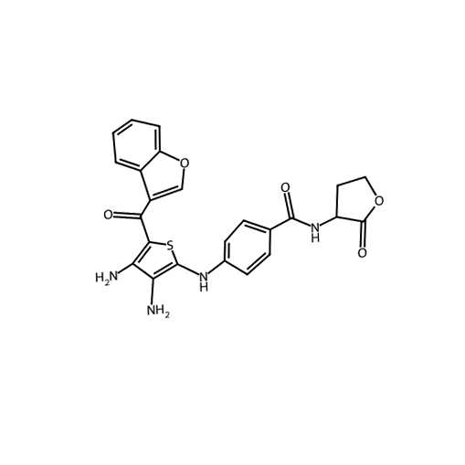 Nc1c(Nc2ccc(C(=O)NC3CCOC3=O)cc2)sc(C(=O)c2coc3ccccc23)c1N